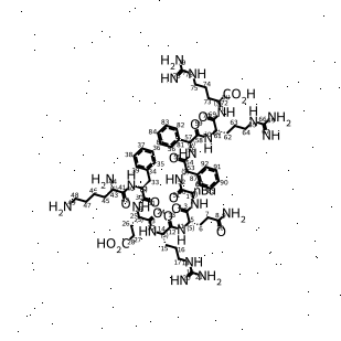 CCCC[C@H](NC(=O)[C@H](CCC(N)=O)NC(=O)[C@H](CCCNC(=N)N)NC(=O)[C@H](CCC(=O)O)NC(=O)[C@H](Cc1ccccc1)NC(=O)[C@@H](N)CCCCN)C(=O)N[C@H](C(=O)N[C@H](C(=O)N[C@@H](CCCNC(=N)N)C(=O)N[C@@H](CCCNC(=N)N)C(=O)O)c1ccccc1)c1ccccc1